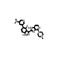 CN1CCN(c2nccc3[nH]c(-c4n[nH]c5ccc(-c6cncc(N(C)C)c6)c(F)c45)nc23)CC1